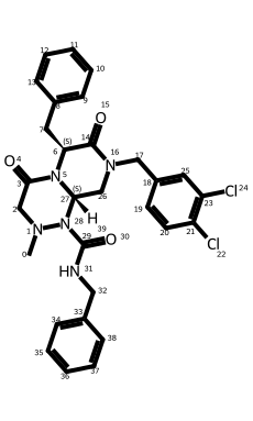 CN1CC(=O)N2[C@@H](Cc3ccccc3)C(=O)N(Cc3ccc(Cl)c(Cl)c3)C[C@@H]2N1C(=O)NCc1ccccc1